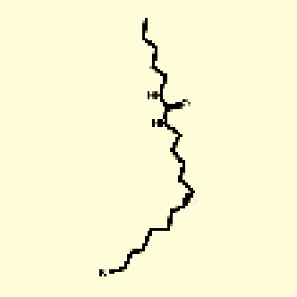 CCCCCNC(=O)NCCCC/C=C\CCCCCCBr